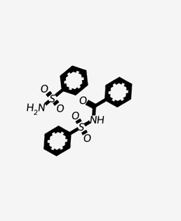 NS(=O)(=O)c1ccccc1.O=C(NS(=O)(=O)c1ccccc1)c1ccccc1